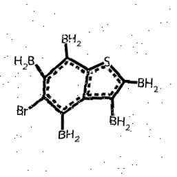 Bc1sc2c(B)c(B)c(Br)c(B)c2c1B